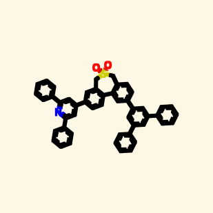 O=S1(=O)Cc2cc(-c3cc(-c4ccccc4)nc(-c4ccccc4)c3)ccc2-c2cc(-c3cc(-c4ccccc4)cc(-c4ccccc4)c3)ccc2C1